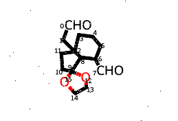 O=CCC12CCCC(C=O)C1C1(CC2)OCCO1